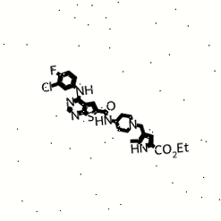 CCOC(=O)c1cc(CN2CCC(NC(=O)c3cc4c(Nc5ccc(F)c(Cl)c5)ncnc4s3)CC2)c(C)[nH]1